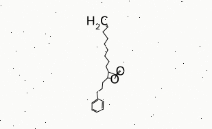 C=CCCCCCCCC1C(=O)OC1CCCc1ccccc1